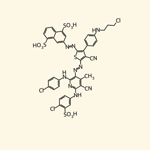 Cc1c(C#N)c(Nc2ccc(Cl)c(S(=O)(=O)O)c2)nc(Nc2ccc(Cl)cc2)c1N=Nc1sc(/N=N/c2cc(S(=O)(=O)O)c3cccc(S(=O)(=O)O)c3c2)c(-c2ccc(NCCCCl)cc2)c1C#N